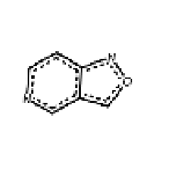 c1cc2nocc2cn1